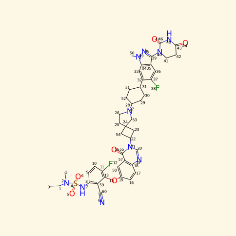 CCN(C)S(=O)(=O)Nc1ccc(F)c(Oc2ccc3ncn(C4CC5(CCN(C6CCC(c7cc8c(cc7F)c(N7CCC(=O)NC7=O)nn8C)CC6)C5)C4)c(=O)c3c2)c1C#N